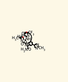 Cc1ncc(-c2cc3c4c(c2)c(C(N)=O)nn4CC(=O)N2C4C(C)[C@]4(COCCCCCCC3)C[C@H]2C(=O)Nc2nc(C(F)(F)F)ccc2C)cn1